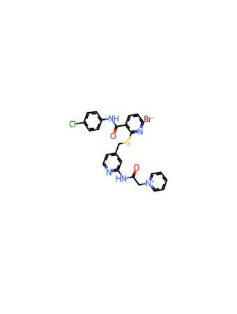 O=C(C[n+]1ccccc1)Nc1cc(CSc2ncccc2C(=O)Nc2ccc(Cl)cc2)ccn1.[Br-]